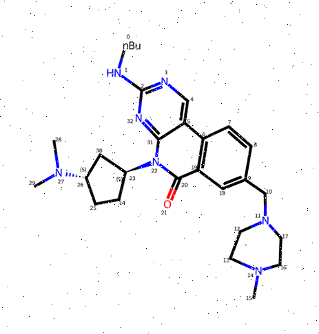 CCCCNc1ncc2c3ccc(CN4CCN(C)CC4)cc3c(=O)n([C@H]3CC[C@H](N(C)C)C3)c2n1